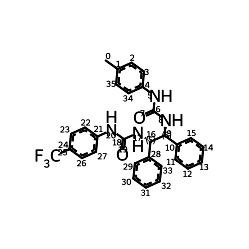 Cc1ccc(NC(=O)N[C@@H](c2ccccc2)[C@@H](NC(=O)Nc2ccc(C(F)(F)F)cc2)c2ccccc2)cc1